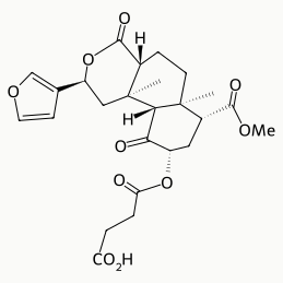 COC(=O)[C@@H]1C[C@H](OC(=O)CCC(=O)O)C(=O)[C@H]2[C@@]1(C)CC[C@H]1C(=O)O[C@H](c3ccoc3)C[C@]21C